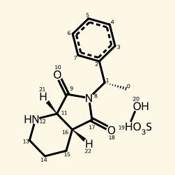 C[C@@H](c1ccccc1)N1C(=O)[C@H]2NCCC[C@H]2C1=O.O=S(=O)(O)O